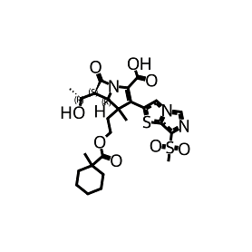 C[C@@H](O)[C@H]1C(=O)N2C(C(=O)O)=C(c3cn4cnc(S(C)(=O)=O)c4s3)C(C)(CCOC(=O)C3(C)CCCCC3)[C@@H]12